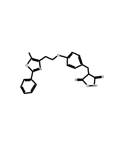 Cc1oc(-c2ccccc2)nc1CCOc1ccc(CC2C(=O)NOC2=O)cc1